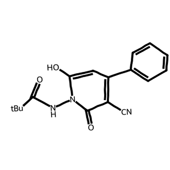 CC(C)(C)C(=O)Nn1c(O)cc(-c2ccccc2)c(C#N)c1=O